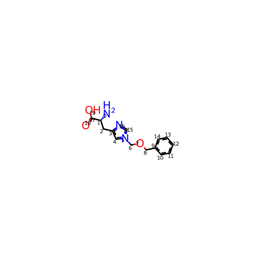 N[C@@H](Cc1cn(COCc2ccccc2)cn1)C(=O)O